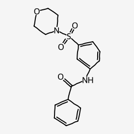 O=C(Nc1cccc(S(=O)(=O)N2CCOCC2)c1)c1ccccc1